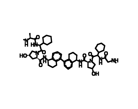 CNCC(=O)NC(C(=O)N1C[C@@H](O)C[C@H]1C(=O)N[C@@H]1CCCc2c(-c3cccc4c3CCC[C@H]4NC(=O)[C@@H]3C[C@H](O)CN3C(=O)[C@@H](NC(=O)[C@H](C)NC)C3CCCCC3)cccc21)C1CCCCC1